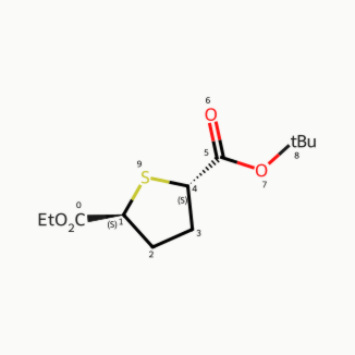 CCOC(=O)[C@@H]1CC[C@@H](C(=O)OC(C)(C)C)S1